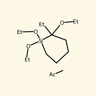 CC(C)=O.CCOC1(CC)CCCC[Si]1(OCC)OCC